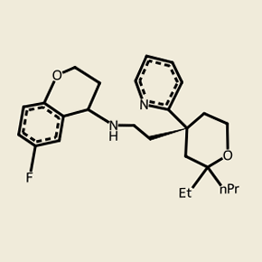 CCCC1(CC)C[C@](CCNC2CCOc3ccc(F)cc32)(c2ccccn2)CCO1